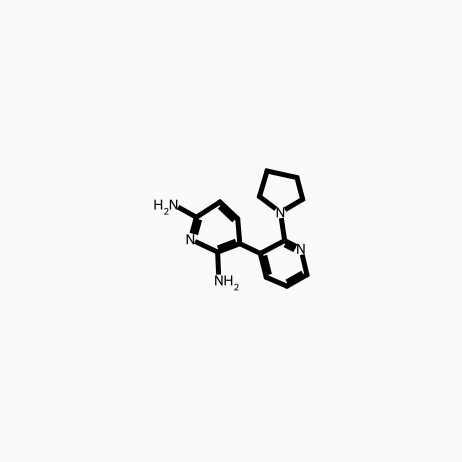 Nc1ccc(-c2cccnc2N2CCCC2)c(N)n1